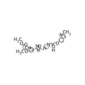 CCOC(=O)CC(C)(C)Oc1ccc(-c2noc(CN3CCN(C[C@H](O)COc4ccc5sc(C)nc5c4)CC3)n2)cc1